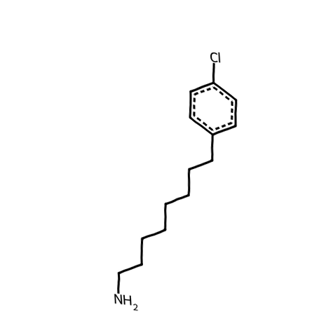 NCCCCCCCCc1ccc(Cl)cc1